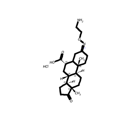 C[C@]12CC/C(=N/OCCN)CC1[C@@H](C(=O)O)C[C@@H]1[C@@H]2CC[C@]2(C)C(=O)CC[C@@H]12.Cl